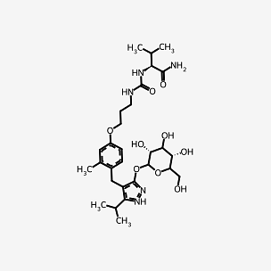 Cc1cc(OCCCNC(=O)N[C@H](C(N)=O)C(C)C)ccc1Cc1c(OC2OC(CO)[C@@H](O)C(O)[C@H]2O)n[nH]c1C(C)C